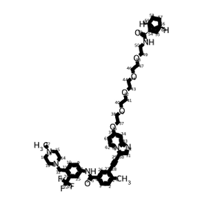 Cc1ccc(C(=O)Nc2ccc(CN3CCN(C)CC3)c(C(F)(F)F)c2)cc1C#Cc1cnc2cc(OCCOCCOCCOCCOCCNC(=O)[C@H]3C[C@H]4C=C[C@@H]3C4)ccn12